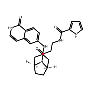 O=C(NCCC(=O)N1[C@@H]2CC[C@H]1CC(Nc1ccc3c(=O)[nH]ccc3c1)C2)c1ccc[nH]1